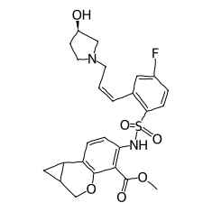 COC(=O)c1c(NS(=O)(=O)c2ccc(F)cc2/C=C\CN2CC[C@@H](O)C2)ccc2c1OCC1CC21